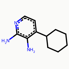 Nc1nccc(C2CCCCC2)c1N